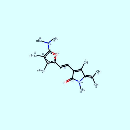 CCCCCCc1c(/C=C/C2=C(C#N)C(=C(C#N)C#N)N(CCCC)C2=O)oc(N(CCCC)CCCC)c1CCCCCC